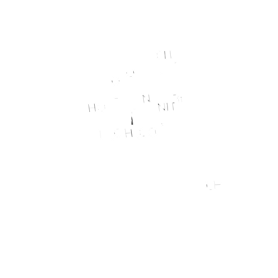 C=C(CBr)C(=O)N(NC(=O)CCCCC)[C@H](C(=O)O)C(C)C